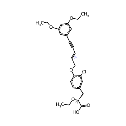 CCOc1cc(C#C/C=C/COc2ccc(C[C@H](OCC)C(=O)O)cc2Cl)cc(OCC)c1